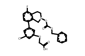 O=C(O)COc1cc(Cl)cc(-c2ccc(F)c3c2CN(OC(=O)OCc2ccccc2)CC3)c1